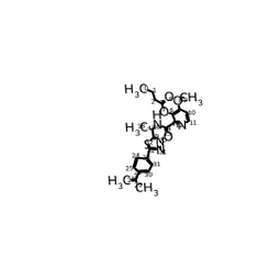 CCCC(=O)Oc1c(OC)ccnc1C(=O)N[C@@H](C)c1nnc(-c2ccc(C(C)C)cc2)s1